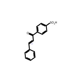 O=C(/C=C/c1ccccc1)c1ccc(S(=O)(=O)O)cc1